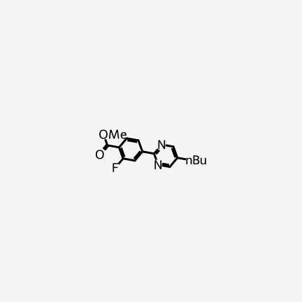 CCCCc1cnc(-c2ccc(C(=O)OC)c(F)c2)nc1